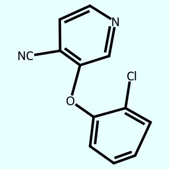 N#Cc1ccncc1Oc1ccccc1Cl